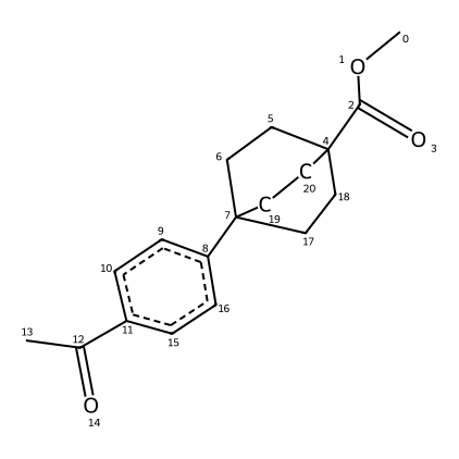 COC(=O)C12CCC(c3ccc(C(C)=O)cc3)(CC1)CC2